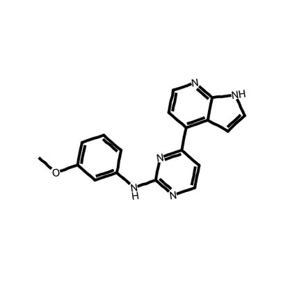 COc1cccc(Nc2nccc(-c3ccnc4[nH]ccc34)n2)c1